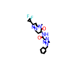 CN1C(=O)[C@H](NC(=O)c2ncn(Cc3ccccc3)n2)CCn2nc(C3CC3(F)F)cc21